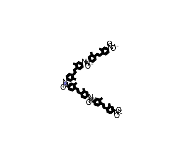 Cc1cc(N=[N+]([O-])c2ccc(C=Cc3ccc([N+](=O)[O-])cc3C)c(C)c2)ccc1C=Cc1ccc(/N=[N+](/[O-])c2ccc(C=Cc3ccc(N=[N+]([O-])c4ccc(C=Cc5ccc([N+](=O)[O-])cc5C)c(C)c4)cc3C)c(C)c2)cc1C